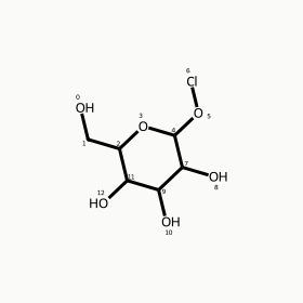 OCC1OC(OCl)C(O)C(O)C1O